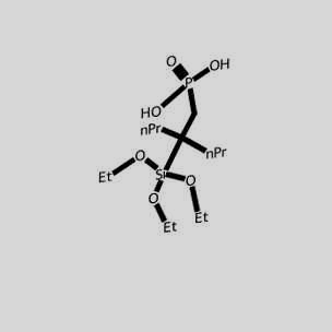 CCCC(CCC)(CP(=O)(O)O)[Si](OCC)(OCC)OCC